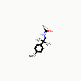 COc1ccc(C(C)(C)CNC(=O)C(F)(F)F)cc1